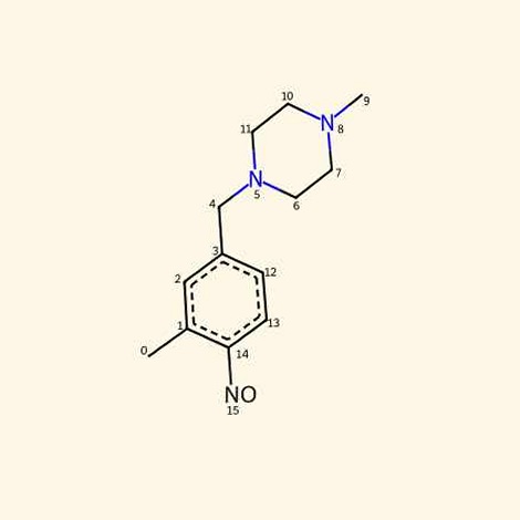 Cc1cc(CN2CCN(C)CC2)ccc1N=O